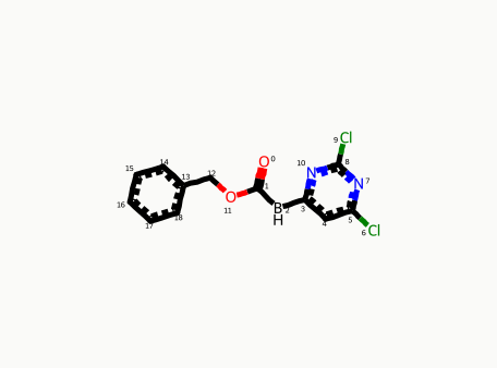 O=C(Bc1cc(Cl)nc(Cl)n1)OCc1ccccc1